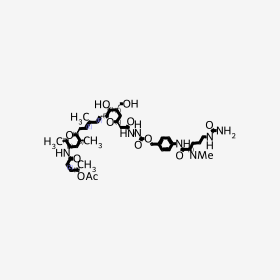 CN[C@@H](CCCNC(N)=O)C(=O)Nc1ccc(COC(=O)NNC(=O)C[C@@H]2C[C@@H](CO)[C@H](O)[C@@H](/C=C/C(C)=C/C[C@@H]3O[C@H](C)[C@H](NC(=O)/C=C\[C@H](C)OC(C)=O)C[C@@H]3C)O2)cc1